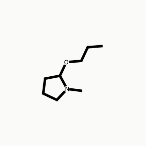 CCCOC1CCCN1C